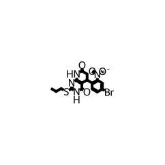 CCCSc1nc2c(c(=O)[nH]1)C(c1ccc(Br)cc1[N+](=O)[O-])CC(=O)N2